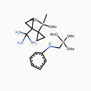 CO[Si](C)(OC)C1(C2(C(N)(N)N)CC2)CC1.CO[Si](CNc1ccccc1)(OC)OC